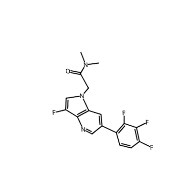 CN(C)C(=O)Cn1cc(F)c2ncc(-c3ccc(F)c(F)c3F)cc21